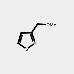 COCc1ccsn1